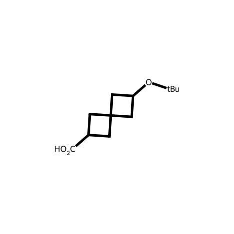 CC(C)(C)OC1CC2(C1)CC(C(=O)O)C2